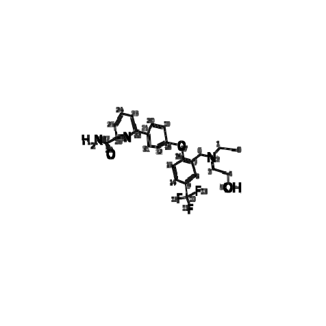 CCN(CCO)Cc1cc(C(F)(F)F)ccc1Oc1ccc(-c2cccc(C(N)=O)n2)cc1